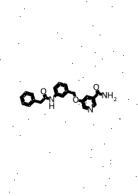 NC(=O)c1cncc(OCc2cccc(NC(=O)Cc3ccccc3)c2)c1